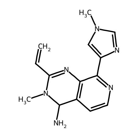 C=CC1=Nc2c(ccnc2-c2cn(C)cn2)C(N)N1C